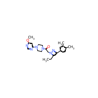 CCc1cc(-c2ccc(C)c(C)c2)nn1CC(=O)N1CCN(c2cc(OC)ncn2)CC1